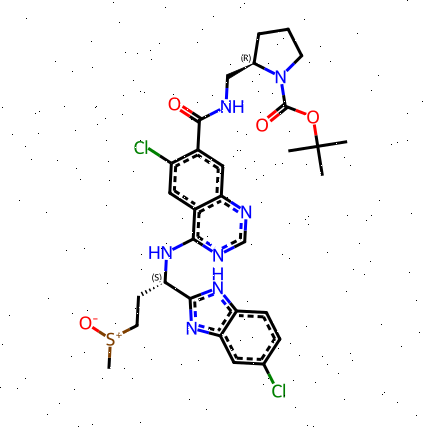 C[S+]([O-])CC[C@H](Nc1ncnc2cc(C(=O)NC[C@H]3CCCN3C(=O)OC(C)(C)C)c(Cl)cc12)c1nc2cc(Cl)ccc2[nH]1